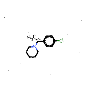 C[C@@H](c1ccc(Cl)cc1)N1CCCCC1